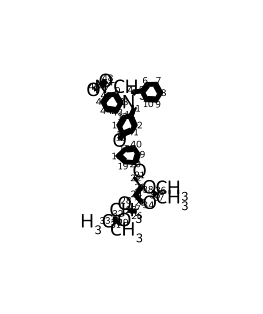 Cc1c(N(Cc2ccccc2)Cc2ccc(Oc3ccc(OC[C@@H]4C[C@@H](CC(=O)OC(C)(C)C)OC(C)(C)O4)cc3)cc2)cccc1[N+](=O)[O-]